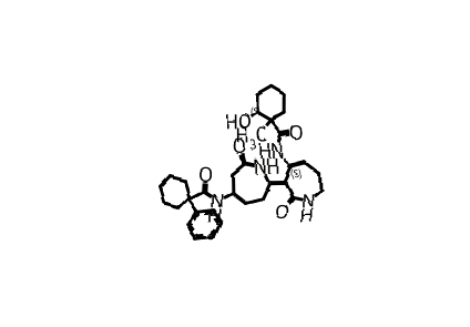 CC1(C(=O)N[C@H]2CCCNC(=O)C2C2CCC(NC(=O)C3(c4ccccc4)CCCCC3)CC(=O)N2)CCCC[C@@H]1O